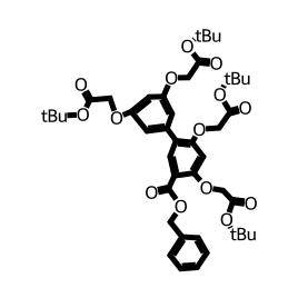 CC(C)(C)OC(=O)COc1cc(OCC(=O)OC(C)(C)C)cc(-c2cc(C(=O)OCc3ccccc3)c(OCC(=O)OC(C)(C)C)cc2OCC(=O)OC(C)(C)C)c1